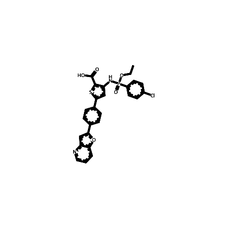 CCOP(=O)(Nc1cc(-c2ccc(-c3cc4ncccc4o3)cc2)sc1C(=O)O)c1ccc(Cl)cc1